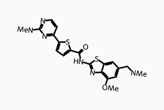 CNCc1cc(OC)c2nc(NC(=O)c3ccc(-c4ccnc(NC)n4)s3)sc2c1